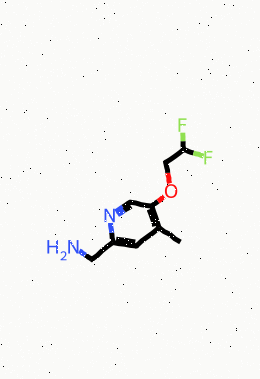 Cc1cc(CN)ncc1OCC(F)F